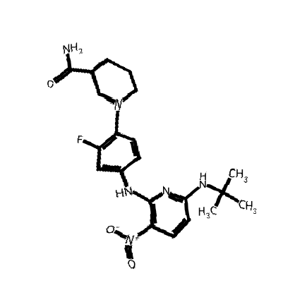 CC(C)(C)Nc1ccc([N+](=O)[O-])c(Nc2ccc(N3CCCC(C(N)=O)C3)c(F)c2)n1